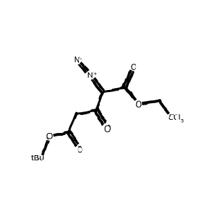 CC(C)(C)OC(=O)CC(=O)C(=[N+]=[N-])C(=O)OCC(Cl)(Cl)Cl